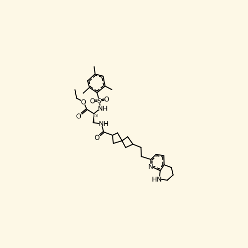 CCOC(=O)[C@H](CNC(=O)C1CC2(CC(CCc3ccc4c(n3)NCCC4)C2)C1)NS(=O)(=O)c1c(C)cc(C)cc1C